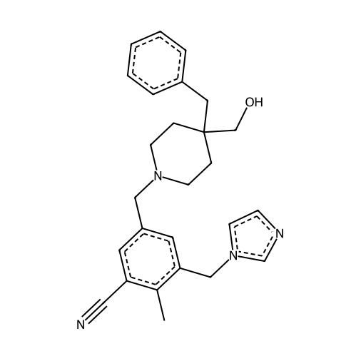 Cc1c(C#N)cc(CN2CCC(CO)(Cc3ccccc3)CC2)cc1Cn1ccnc1